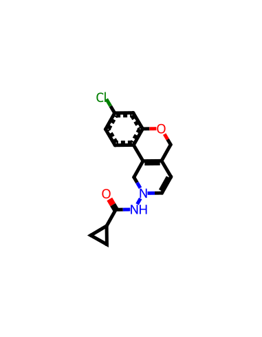 O=C(NN1C=CC2=C(C1)c1ccc(Cl)cc1OC2)C1CC1